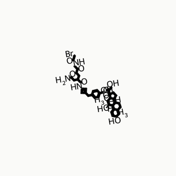 C[C@]12C=CC(O)C=C1CC[C@@H]1[C@@H]2[C@@H](O)C[C@@]2(C)[C@H]1CC[C@]2(O[C@@H](O)c1ccc(CC23CC(NC(=O)C(CCC(=O)CNC(=O)CBr)CC(N)=O)(C2)C3)cc1)C(=O)CO